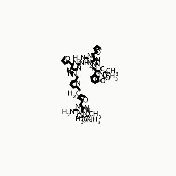 C=Cc1cccc(Cn2nnc3c(-c4ccco4)nc(N)nc32)n1.CC(C)(C)[N+]1(C(=O)O)C=C(Cn2nnc3c(-c4ccco4)nc(N)nc32)c2ccccc21.CC(C)(C)[N+]1(C(=O)O)N=Nc2c(-c3ccco3)nc(N)nc21